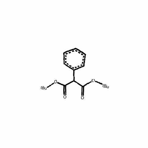 CC(C)(C)OC(=O)C(C(=O)OC(C)(C)C)c1ccccc1